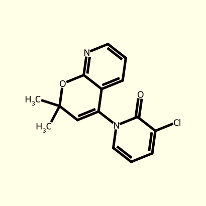 CC1(C)C=C(n2cccc(Cl)c2=O)c2cccnc2O1